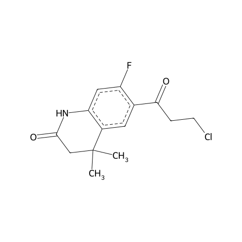 CC1(C)CC(=O)Nc2cc(F)c(C(=O)CCCl)cc21